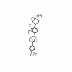 CCCc1ccc(C2OCC(c3ccc(C4CCC(CCC)OC4)c(F)c3F)CO2)cc1